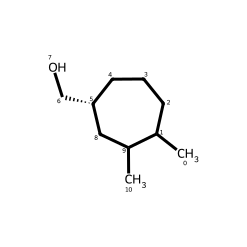 CC1CCC[C@@H](CO)CC1C